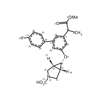 COC(=O)C(C)c1cc(O[C@@H]2[C@@H]3CN(C(=O)O)C[C@@H]32)nc(-c2ccc(F)cc2)c1